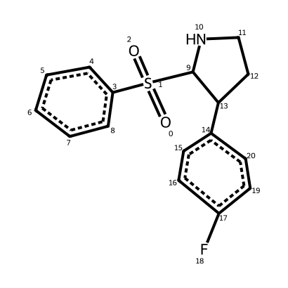 O=S(=O)(c1ccccc1)C1NCCC1c1ccc(F)cc1